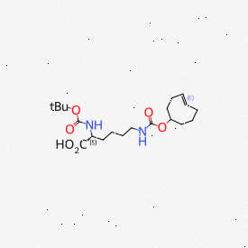 CC(C)(C)OC(=O)N[C@@H](CCCCNC(=O)OC1CC/C=C/CCC1)C(=O)O